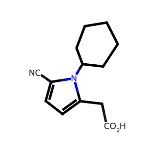 N#Cc1ccc(CC(=O)O)n1C1CCCCC1